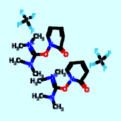 CN(C)C(On1ccccc1=O)=[N+](C)C.CN(C)C(On1ccccc1=O)=[N+](C)C.F[B-](F)(F)F.F[B-](F)(F)F